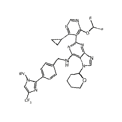 CC(C)n1cc(C(F)(F)F)nc1-c1ccc(CNc2nc(-c3c(OC(F)F)ncnc3C3CC3)nc3ncn(C4CCCCO4)c23)cc1